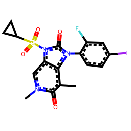 Cc1c(=O)n(C)cc2c1n(-c1ccc(I)cc1F)c(=O)n2S(=O)(=O)C1CC1